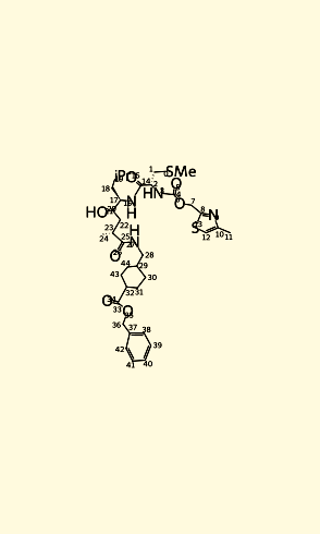 CSC[C@H](NC(=O)OCc1nc(C)cs1)C(=O)N[C@H](CC(C)C)[C@@H](O)C[C@@H](C)C(=O)NCC1CCC(C(=O)OCc2ccccc2)CC1